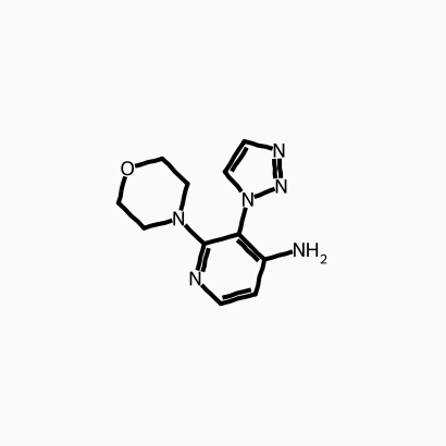 Nc1ccnc(N2CCOCC2)c1-n1ccnn1